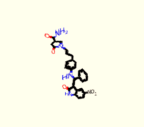 NC(=O)C1CC(=O)N(C/C=C/c2ccc(N/C(=C3\C(=O)Nc4ccc([N+](=O)[O-])cc43)c3ccccc3)cc2)C1